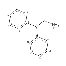 N[CH]C(c1ccccc1)c1ccccc1